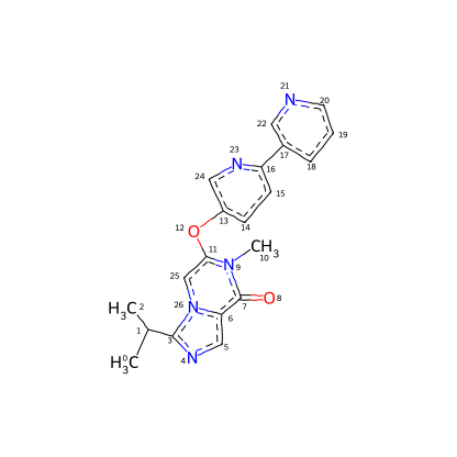 CC(C)c1ncc2c(=O)n(C)c(Oc3ccc(-c4cccnc4)nc3)cn12